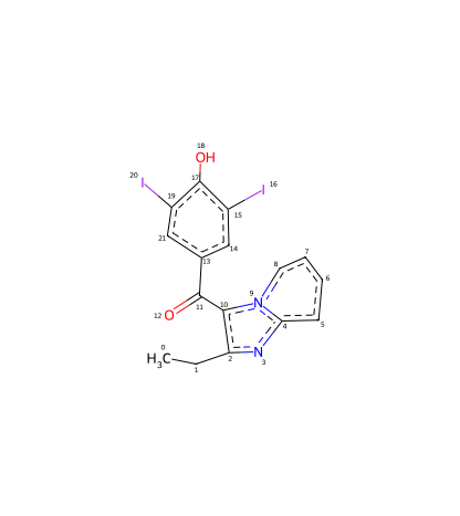 CCc1nc2ccccn2c1C(=O)c1cc(I)c(O)c(I)c1